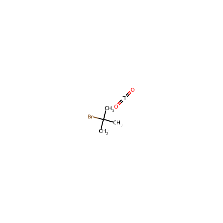 [CH2]C(C)(C)Br.[O]=[Ti]=[O]